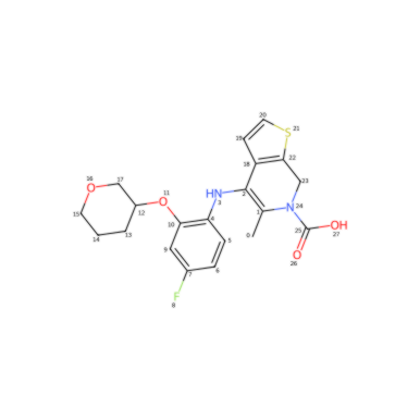 CC1=C(Nc2ccc(F)cc2OC2CCCOC2)c2ccsc2CN1C(=O)O